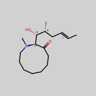 C/C=C/C[C@@H](C)[C@@H](O)[C@H]1C(=O)CCCCCCCN1C